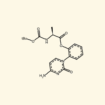 C[C@H](NC(=O)OC(C)(C)C)C(=O)Oc1ccccc1-n1ccc(N)nc1=O